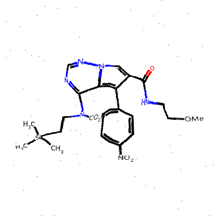 COCCNC(=O)c1cn2ncnc(N(CC[Si](C)(C)C)C(=O)O)c2c1-c1ccc([N+](=O)[O-])cc1